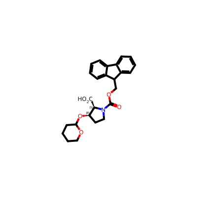 O=C(O)[C@@H]1[C@H](OC2CCCCO2)CCN1C(=O)OCC1c2ccccc2-c2ccccc21